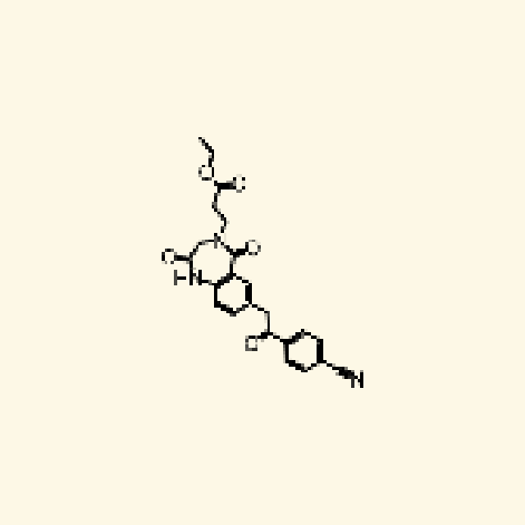 CCOC(=O)CCN1CC(=O)Nc2ccc(CC(=O)c3ccc(C#N)cc3)cc2C1=O